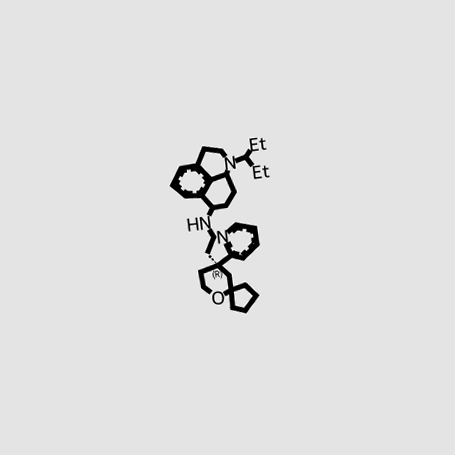 CCC(CC)N1CCc2cccc3c2C1CCC3NCC[C@@]1(c2ccccn2)CCOC2(CCCC2)C1